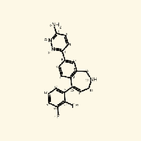 Nc1ccc(-c2ccc3c(c2)CNCC=C3c2cccc(F)c2F)nn1